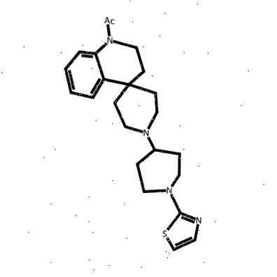 CC(=O)N1CCC2(CCN(C3CCN(c4nccs4)CC3)CC2)c2ccccc21